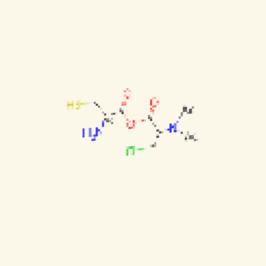 CC(=O)N(C(C)=O)C(CCl)C(=O)OC(=O)[C@@H](N)CS